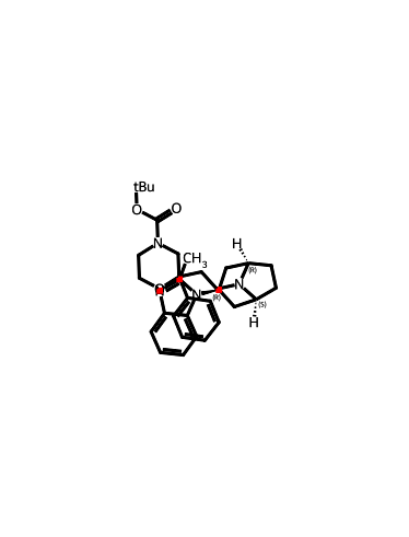 Cc1nc2ccccc2n1[C@H]1C[C@H]2CC[C@@H](C1)N2CCC1(c2ccccc2)CN(C(=O)OC(C)(C)C)CCO1